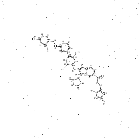 Cc1oc(=O)oc1CCC(=O)c1ccc2nc(Cc3cc(F)c(-c4cccc(OCc5ccc(Cl)cc5F)n4)cc3F)n([C@@H]3COCC3(C)C)c2c1